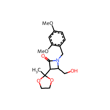 COc1ccc(CN2C(=O)C(C3(C)OCCO3)C2CO)c(OC)c1